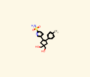 NS(=O)(=O)c1ccc(C2=C(c3ccc(C(F)(F)F)cc3)CC(CO)(CO)C2)cn1